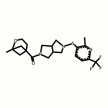 Cc1nc(C(F)(F)F)ccc1SN1CC2CN(C(=O)C34CCOC(C)(C3)C4)CC2C1